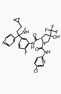 CNC(CCC1CC1)(c1ccncc1)c1ccc(F)c(NC(=O)[C@H]2C[C@](O)(C(F)(F)F)CN2C(=O)Nc2ccc(Cl)cn2)c1